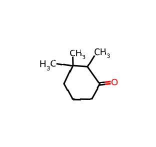 CC1C(=O)CCCC1(C)C